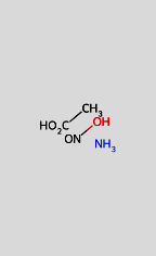 CC(=O)O.N.O=NO